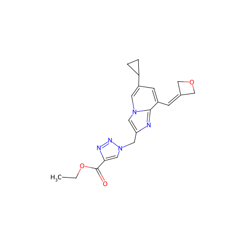 CCOC(=O)c1cn(Cc2cn3cc(C4CC4)cc(C=C4COC4)c3n2)nn1